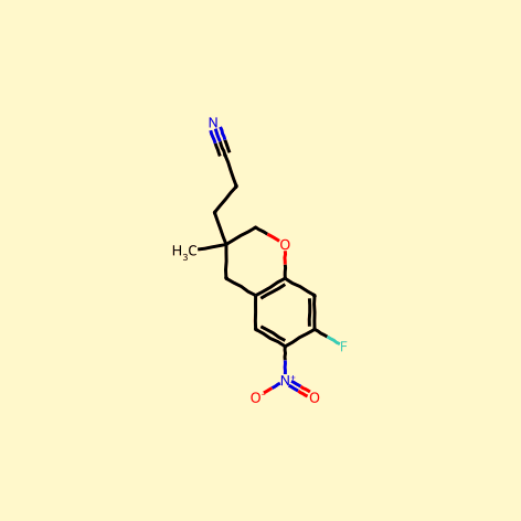 CC1(CCC#N)COc2cc(F)c([N+](=O)[O-])cc2C1